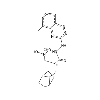 Cc1cccc2nnc(NNC(=O)[C@H](CC3C4CCC3CC4)CN(O)C=O)nc12